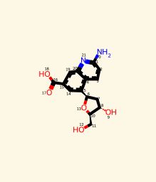 Nc1ccc2c([C@H]3C[C@H](O)[C@@H](CO)O3)cc(C(=O)O)cc2n1